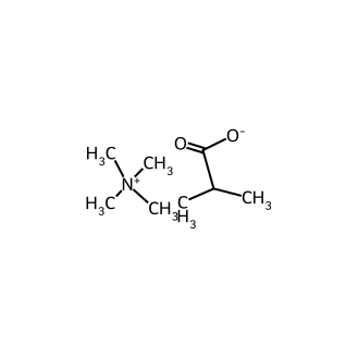 CC(C)C(=O)[O-].C[N+](C)(C)C